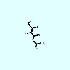 CC(C)OC(=O)C(Cl)=C(Cl)CCl